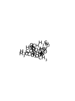 COc1c(NC(=O)c2ccc(C)c(-n3cc(OC(=O)NCC4CCCN(C)C4)nn3)c2)cc(C(C)(C)C)cc1NS(C)(=O)=O